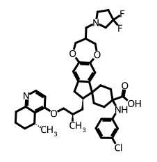 C[C@@H](COc1ccnc2c1[C@H](C)CCC2)C[C@H]1Cc2cc3c(cc2C12CCC(Nc1cccc(Cl)c1)(C(=O)O)CC2)OCC(CN1CCC(F)(F)C1)CO3